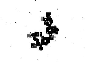 CCN(C)CCN(CC)C(=O)c1ccc(Nc2ccc(-c3cc[nH]c(=O)c3)n3ccnc23)cc1